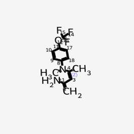 C=C(N)/C=C(/C)N(C)c1ccc(OC(F)(F)F)cc1